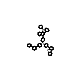 c1ccc(-c2cccc(-c3ccc(N(c4ccc(-c5cc6c7ccccc7n(-c7ccccc7)c6c6ccccc56)cc4)c4ccc(-c5cccc6c5sc5ccccc56)cc4)cc3)c2)cc1